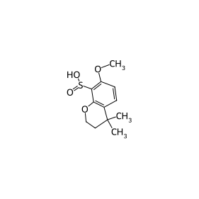 COc1ccc2c(c1S(=O)O)OCCC2(C)C